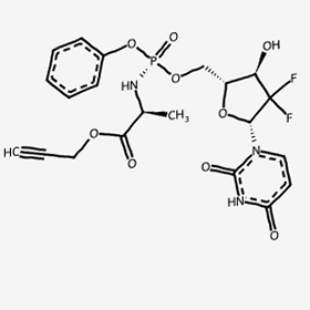 C#CCOC(=O)[C@H](C)N[P@](=O)(OC[C@H]1O[C@@H](n2ccc(=O)[nH]c2=O)C(F)(F)[C@@H]1O)Oc1ccccc1